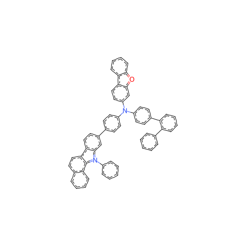 c1ccc(-c2ccccc2-c2ccc(N(c3ccc(-c4ccc5c6ccc7ccccc7c6n(-c6ccccc6)c5c4)cc3)c3ccc4c(c3)oc3ccccc34)cc2)cc1